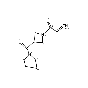 C=CC(=O)N1CC(C(=O)N2CCCC2)C1